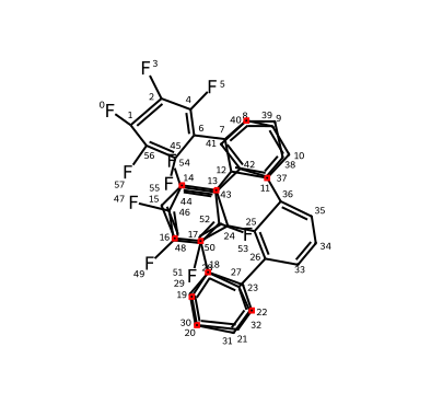 Fc1c(F)c(F)c(-c2ccccc2-c2cccc(-c3ccccc3)c2-c2c(-c3ccccc3)cccc2-c2ccccc2-c2c(F)c(F)c(F)c(F)c2F)c(F)c1F